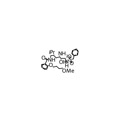 COCCCCOc1ccccc1C(=O)NC[C@@H](C[C@H](N)[C@@H](O)CNS(=O)(=O)Cc1ccccc1)C(C)C